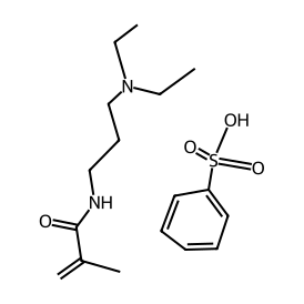 C=C(C)C(=O)NCCCN(CC)CC.O=S(=O)(O)c1ccccc1